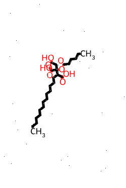 CCCCCCCCCCCCCCC(C(=O)O)C(CC(=O)O)(OC(=O)CCCCC)C(=O)O